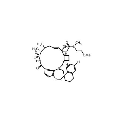 COCCN(C)C(=O)C[C@@]1(O)/C=C/C[C@H](C)[C@@H](C)S(=O)(=O)NC(=O)c2ccc3c(c2)N(C[C@@H]2CC[C@H]21)C[C@@]1(CCCc2cc(Cl)ccc21)CO3